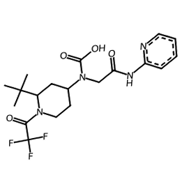 CC(C)(C)C1CC(N(CC(=O)Nc2ccccn2)C(=O)O)CCN1C(=O)C(F)(F)F